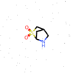 O=S1(=O)CC2CNC1C2